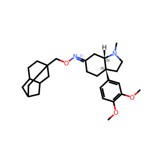 COc1ccc([C@@]23CC/C(=N\OCC45CCC6CC(CC6C4)C5)C[C@@H]2N(C)CC3)cc1OC